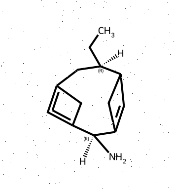 CC[C@@H]1CC2=C=C(C2)[C@H](N)C2=CC1C2